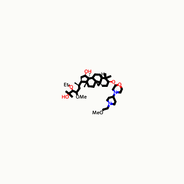 CCO[C@@H](C(C[C@@H](C)[C@H]1C[C@H](O)[C@@]2(C)C3CC[C@H]4C(C)(C)[C@@H](O[C@H]5CN(C6CCN(CCOC)CC6)CCO5)CC[C@@]45C[C@@]35CC[C@]12C)OC)C(C)(C)O